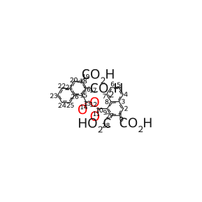 O=C(O)c1cc2ccccc2c(C(=O)OC(=O)c2c(C(=O)O)c(C(=O)O)cc3ccccc23)c1C(=O)O